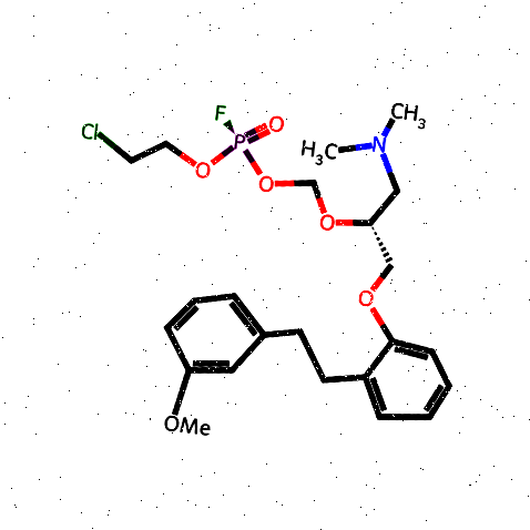 COc1cccc(CCc2ccccc2OC[C@@H](CN(C)C)OCO[P@](=O)(F)OCCCl)c1